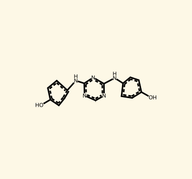 Oc1ccc(Nc2n[c]nc(Nc3ccc(O)cc3)n2)cc1